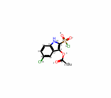 CC(C)(C)C(=O)Oc1c(S(=O)(=O)Cl)[nH]c2ccc(Cl)cc12